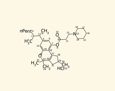 CCCCCC(C)C(C)c1cc(OC(=O)CCN2CCCCC2)c2c(c1)OC(C)(C)C1=C2CC(C)C1.Cl